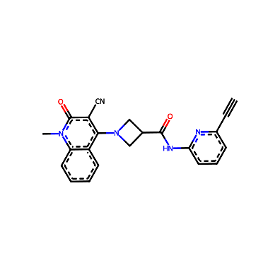 C#Cc1cccc(NC(=O)C2CN(c3c(C#N)c(=O)n(C)c4ccccc34)C2)n1